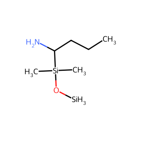 CCCC(N)[Si](C)(C)O[SiH3]